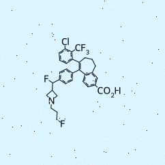 O=C(O)c1ccc2c(c1)CCCC(c1cccc(Cl)c1C(F)(F)F)=C2c1ccc(C(F)C2CN(CCCF)C2)cc1